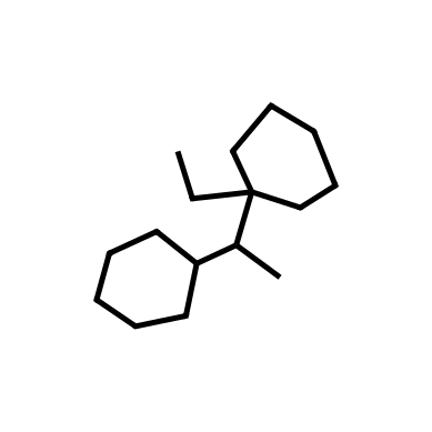 CCC1(C(C)C2CCCCC2)CCCCC1